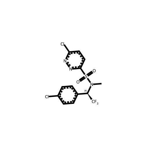 CN([C@H](c1ccc(Cl)cc1)C(F)(F)F)S(=O)(=O)c1ccc(Cl)nn1